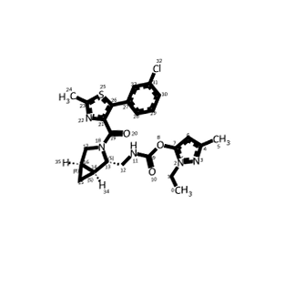 CCn1nc(C)cc1OC(=O)NC[C@@H]1[C@H]2C[C@H]2CN1C(=O)c1nc(C)sc1-c1cccc(Cl)c1